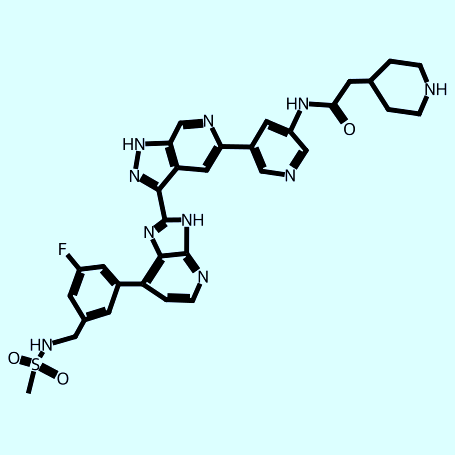 CS(=O)(=O)NCc1cc(F)cc(-c2ccnc3[nH]c(-c4n[nH]c5cnc(-c6cncc(NC(=O)CC7CCNCC7)c6)cc45)nc23)c1